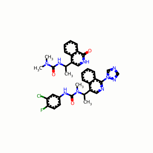 CC(NC(=O)N(C)C)c1c[nH]c(=O)c2ccccc12.CC(c1cnc(-n2cncn2)c2ccccc12)N(C)C(=O)Nc1ccc(F)c(Cl)c1